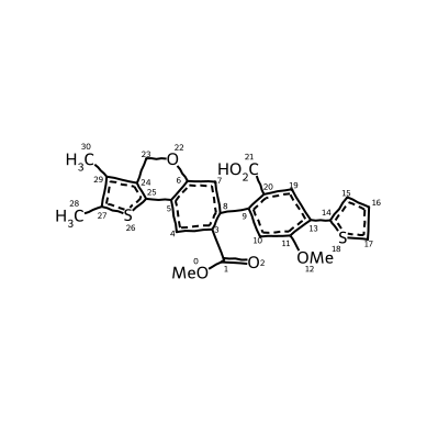 COC(=O)c1cc2c(cc1-c1cc(OC)c(-c3cccs3)cc1C(=O)O)OCc1c-2sc(C)c1C